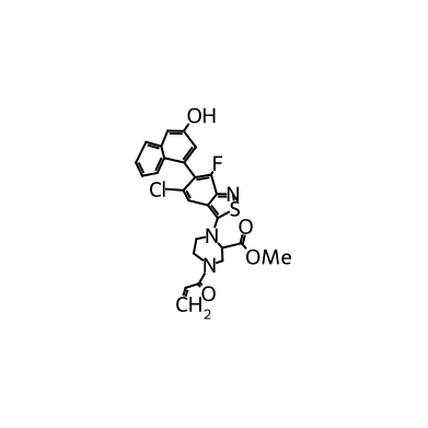 C=CC(=O)N1CCN(c2snc3c(F)c(-c4cc(O)cc5ccccc45)c(Cl)cc23)C(C(=O)OC)C1